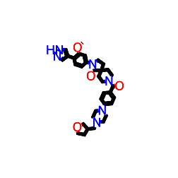 COc1cc(N2CCC3(CCN(C(=O)c4ccc(N5CCN(CC6CCOC6)CC5)cc4)CC3)C2=O)ccc1-c1cn[nH]c1